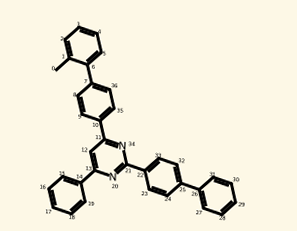 Cc1ccccc1-c1ccc(-c2cc(-c3ccccc3)nc(-c3ccc(-c4ccccc4)cc3)n2)cc1